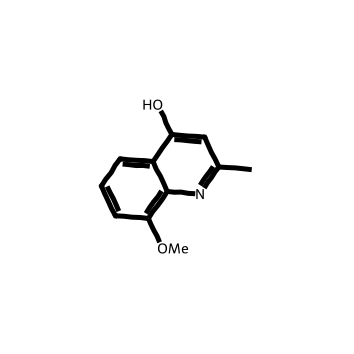 COc1cccc2c(O)cc(C)nc12